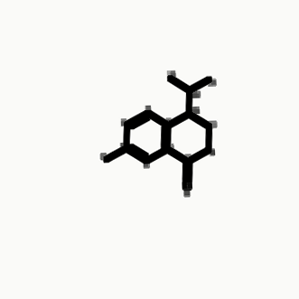 Cc1ccc2c(c1)C(=O)CCC2C(C)C